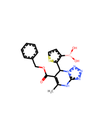 CC1=C(C(=O)OCc2ccccc2)C(c2sccc2B(O)O)n2nnnc2N1